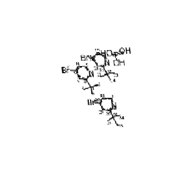 CC(C)(C)c1cc(Br)ccn1.CC(C)(C)c1cc(Br)ccn1.CC(C)(C)c1cc(Br)ccn1.OP(O)O